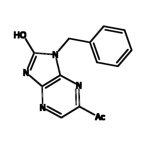 CC(=O)c1cnc2nc(O)n(Cc3ccccc3)c2n1